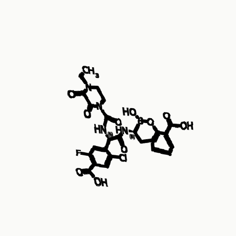 CCN1CCN(C(=O)N[C@H](C(=O)N[C@H]2Cc3cccc(C(=O)O)c3OB2O)c2cc(F)c(C(=O)O)cc2Cl)C(=O)C1=O